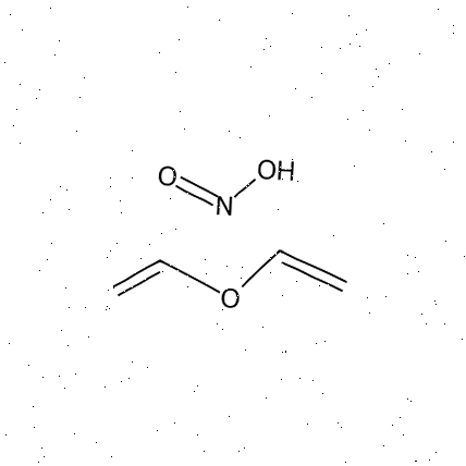 C=COC=C.O=NO